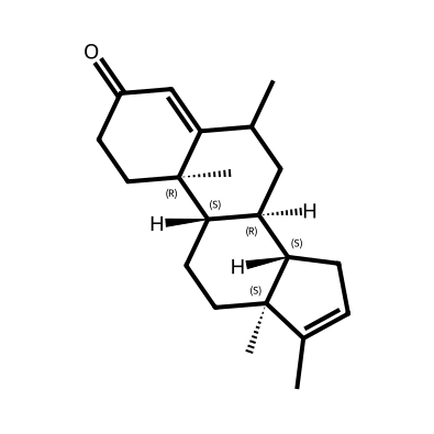 CC1=CC[C@H]2[C@@H]3CC(C)C4=CC(=O)CC[C@]4(C)[C@H]3CC[C@]12C